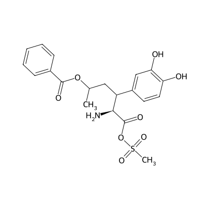 CC(CC(c1ccc(O)c(O)c1)[C@H](N)C(=O)OS(C)(=O)=O)OC(=O)c1ccccc1